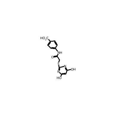 O=C(CSc1nc(O)cc(O)n1)Nc1ccc(C(=O)O)cc1